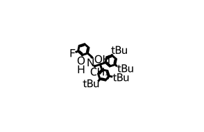 CC(N=Cc1cccc(F)c1O)C(O)(c1cc(C(C)(C)C)cc(C(C)(C)C)c1)c1cc(C(C)(C)C)cc(C(C)(C)C)c1